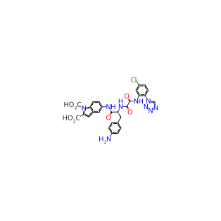 Nc1ccc(C[C@H](NC(=O)C(=O)Nc2cc(Cl)ccc2-n2cnnn2)C(=O)Nc2ccc3c(c2)cc(C(=O)O)n3C(=O)O)cc1